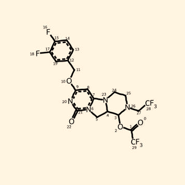 O=C(OC1C2Cn3c(cc(OCc4ccc(F)c(F)c4)nc3=O)N2CCN1CC(F)(F)F)C(F)(F)F